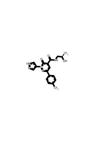 O=C(NC[C@H](O)C(F)(F)F)c1cc(-c2ccc(C(F)(F)F)cc2)nn(-c2cn[nH]c2)c1=O